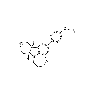 COc1ccc(-c2cc3c4c(c2)[C@H]2CNCC[C@H]2N4CCCS3)cc1